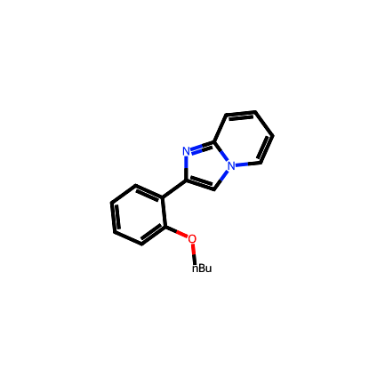 CCCCOc1ccccc1-c1cn2ccccc2n1